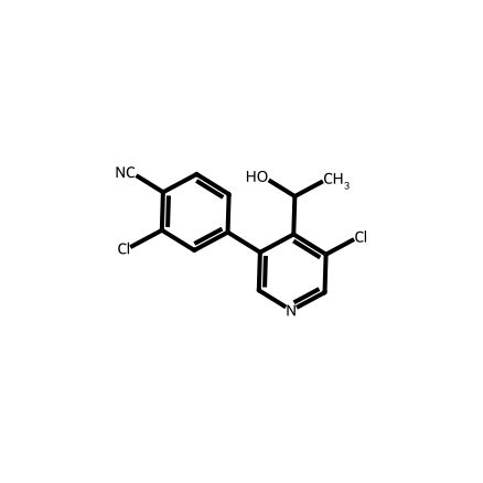 CC(O)c1c(Cl)cncc1-c1ccc(C#N)c(Cl)c1